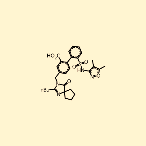 CCCCC1=NC2(CCCC2)C(=O)N1Cc1ccc(-c2ccccc2S(=O)(=O)Nc2noc(C)c2C)c(C(=O)O)c1